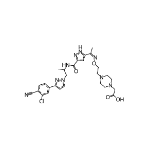 C/C(=N/OCCN1CCN(CC(=O)O)CC1)c1cc(C(=O)NC(C)Cn2ccc(-c3ccc(C#N)c(Cl)c3)n2)n[nH]1